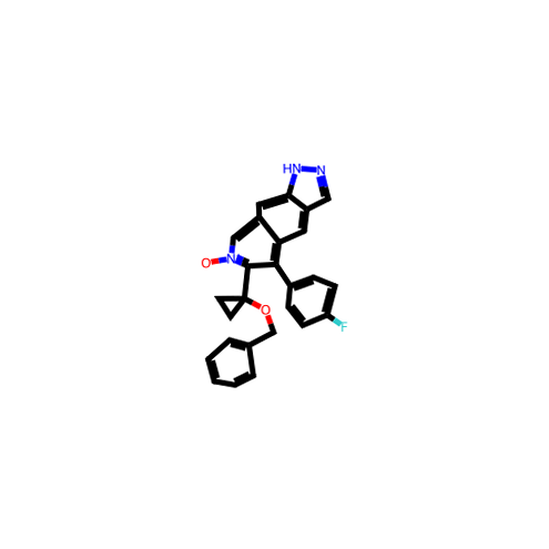 [O-][n+]1cc2cc3[nH]ncc3cc2c(-c2ccc(F)cc2)c1C1(OCc2ccccc2)CC1